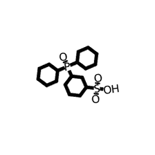 O=P(C1CCCCC1)(C1CCCCC1)C1CCCC(S(=O)(=O)O)C1